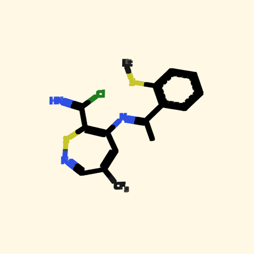 CCSc1ccccc1/C(C)=N/C1=C(C(=N)Cl)SN=CC(C(F)(F)F)=C1